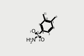 Cc1ccc(S(N)(=O)=O)cc1C